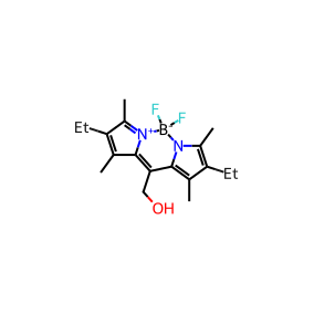 CCC1=C(C)C2=C(CO)c3c(C)c(CC)c(C)n3[B-](F)(F)[N+]2=C1C